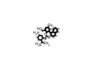 Cc1cc(CO)c2op(OC3CC(C)CCC3C(C)C)oc3ccc4ccccc4c3c2c1